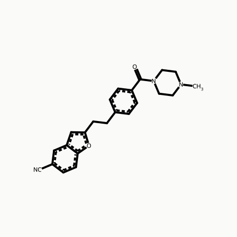 CN1CCN(C(=O)c2ccc(CCc3cc4cc(C#N)ccc4o3)cc2)CC1